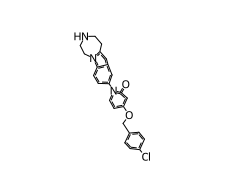 O=c1cc(OCc2ccc(Cl)cc2)ccn1-c1ccc2c(c1)cc1n2CCNCC1